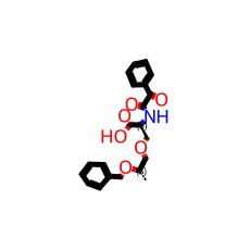 C[C@@H](COC[C@H](NC(=O)C(=O)c1ccccc1)C(=O)O)OCc1ccccc1